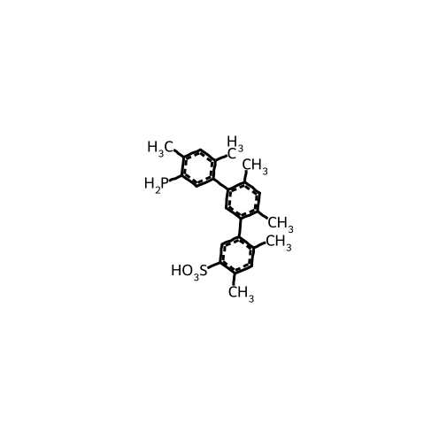 Cc1cc(C)c(-c2cc(-c3cc(S(=O)(=O)O)c(C)cc3C)c(C)cc2C)cc1P